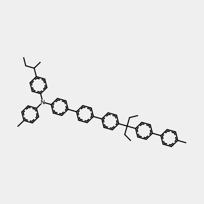 CCC(C)c1ccc(N(c2ccc(C)cc2)c2ccc(-c3ccc(-c4ccc(C(CC)(CC)c5ccc(-c6ccc(C)cc6)cc5)cc4)cc3)cc2)cc1